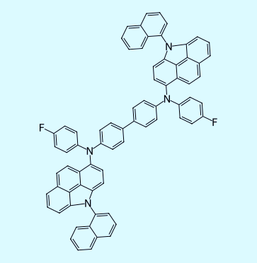 Fc1ccc(N(c2ccc(-c3ccc(N(c4ccc(F)cc4)c4ccc5c6c4ccc4cccc(c46)n5-c4cccc5ccccc45)cc3)cc2)c2ccc3c4c2ccc2cccc(c24)n3-c2cccc3ccccc23)cc1